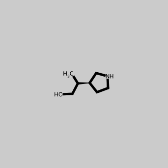 CC(CO)[C@@H]1CCNC1